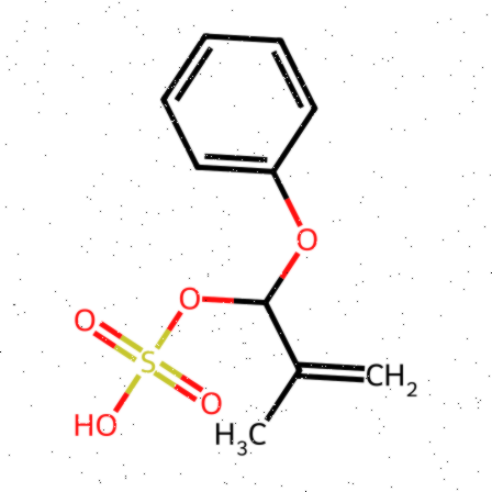 C=C(C)C(Oc1ccccc1)OS(=O)(=O)O